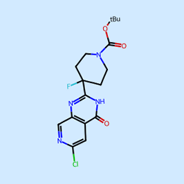 CC(C)(C)OC(=O)N1CCC(F)(c2nc3cnc(Cl)cc3c(=O)[nH]2)CC1